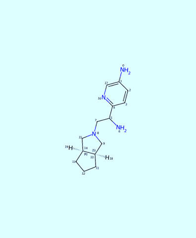 Nc1ccc(C(N)CN2C[C@H]3CCC[C@H]3C2)nc1